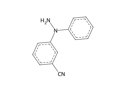 N#Cc1cccc(N(N)c2ccccc2)c1